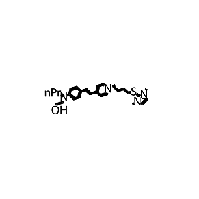 CCCN(CCO)c1ccc(/C=C/c2cc[n+](CCCCSc3n(C)cc[n+]3C)cc2)cc1